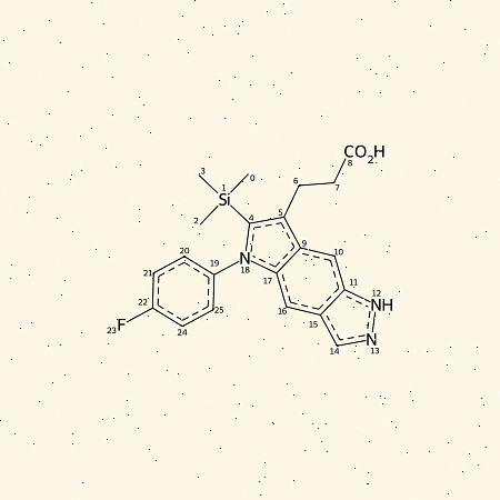 C[Si](C)(C)c1c(CCC(=O)O)c2cc3[nH]ncc3cc2n1-c1ccc(F)cc1